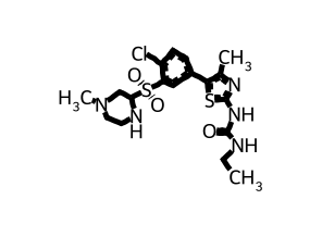 CCNC(=O)Nc1nc(C)c(-c2ccc(Cl)c(S(=O)(=O)C3CN(C)CCN3)c2)s1